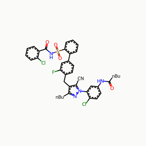 CCCCC(=O)Nc1ccc(Cl)c(-n2nc(CCCC)c(Cc3ccc(-c4ccccc4S(=O)(=O)NC(=O)c4ccccc4Cl)cc3F)c2C#N)c1